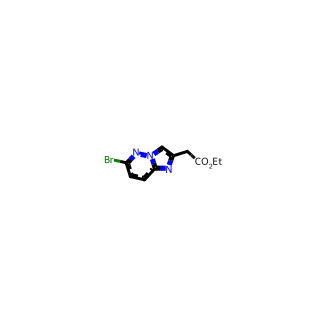 CCOC(=O)Cc1cn2nc(Br)ccc2n1